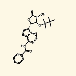 C=C1O[C@@H](c2ccc3c(NC(=O)c4ccccc4)ncnn23)[C@H](O[Si](C)(C)C(C)(C)C)[C@@H]1O